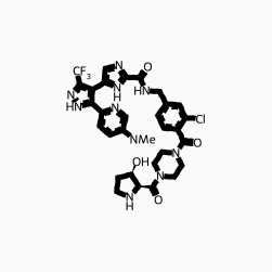 CNc1ccc(-c2[nH]nc(C(F)(F)F)c2-c2cnc(C(=O)NCc3ccc(C(=O)N4CCN(C(=O)[C@H]5NCC[C@@H]5O)CC4)c(Cl)c3)[nH]2)nc1